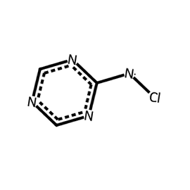 Cl[N]c1ncncn1